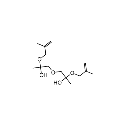 C=C(C)COC(C)(O)COCC(C)(O)OCC(=C)C